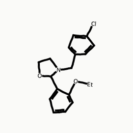 CCOc1ccccc1C1OCCN1Cc1ccc(Cl)cc1